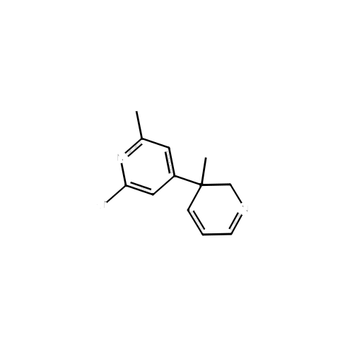 Cc1cc(C2(C)C=CC=NC2)cc(Cl)n1